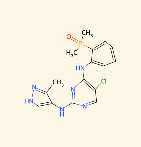 Cc1n[nH]cc1Nc1ncc(Cl)c(Nc2ccccc2P(C)(C)=O)n1